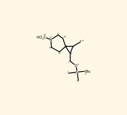 CC(C)(C)[Si](C)(C)OCC1C(F)C12CCN(C(=O)O)CC2